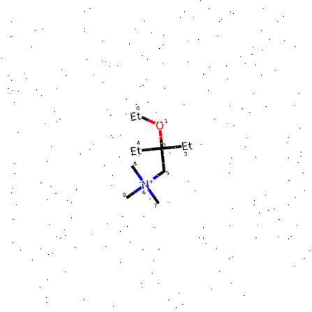 CCOC(CC)(CC)C[N+](C)(C)C